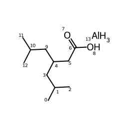 CC(C)CC(CC(=O)O)CC(C)C.[AlH3]